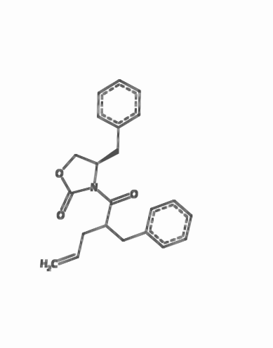 C=CCC(Cc1ccccc1)C(=O)N1C(=O)OC[C@H]1Cc1ccccc1